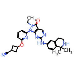 CCn1c(=O)c2cnc(Nc3ccc4c(c3)CCNC4(C)C)nc2n1-c1cccc(OC2CC(C#N)C2)n1